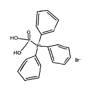 O=P(O)(O)[P+](c1ccccc1)(c1ccccc1)c1ccccc1.[Br-]